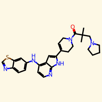 CC(C)(CN1CCCC1)C(=O)N1CC=C(c2cc3c(Nc4ccc5ncsc5c4)ccnc3[nH]2)CC1